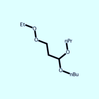 CCCCOC(CCOOCC)OCCC